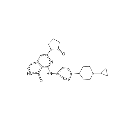 O=C1CCCN1c1cc2cc[nH]c(=O)c2c(Nc2ccc(C3CCN(C4CC4)CC3)cc2)n1